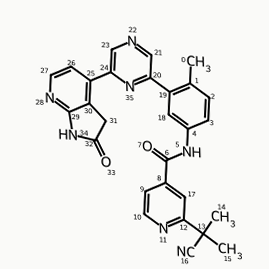 Cc1ccc(NC(=O)c2ccnc(C(C)(C)C#N)c2)cc1-c1cncc(-c2ccnc3c2CC(=O)N3)n1